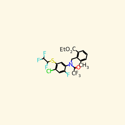 CCOC(=O)c1cccc(C)c1CN(C(=O)C(F)(F)F)c1cc(SC(F)C(F)F)c(Cl)cc1F